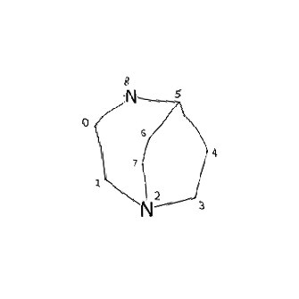 C1CN2CCC(CC2)[N]1